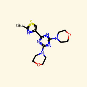 CC(C)(C)c1nc(-c2nc(N3CCOCC3)nc(N3CCOCC3)n2)cs1